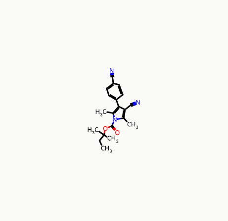 CCC(C)(C)OC(=O)n1c(C)c(C#N)c(-c2ccc(C#N)cc2)c1C